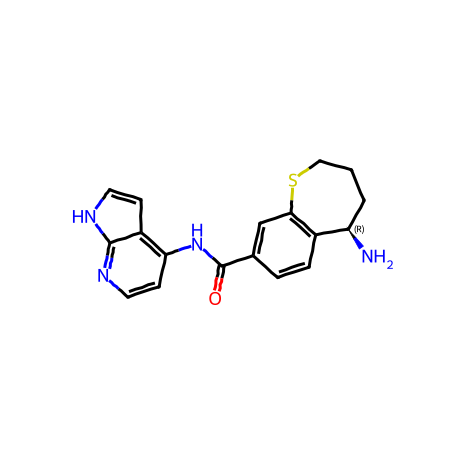 N[C@@H]1CCCSc2cc(C(=O)Nc3ccnc4[nH]ccc34)ccc21